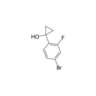 OC1(c2ccc(Br)cc2F)CC1